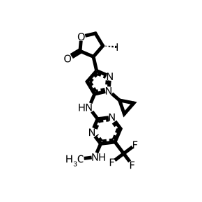 CNc1nc(Nc2cc(C3C(=O)OC[C@@H]3I)nn2C2CC2)ncc1C(F)(F)F